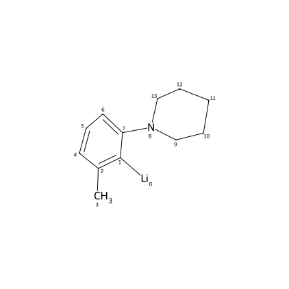 [Li][c]1c(C)cccc1N1CCCCC1